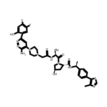 Cc1ncsc1-c1ccc([C@H](C)NC(=O)[C@@H]2C[C@@H](O)CN2C(=O)[C@@H](NC(=O)CN2CCN(c3cc(-c4cc(F)c(F)cc4O)nnc3N)CC2)C(C)(C)C)cc1